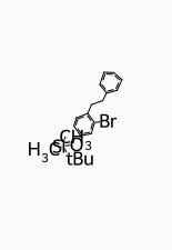 CC(C)(C)[Si](C)(C)Oc1ccc(CCc2ccccc2)c(Br)c1